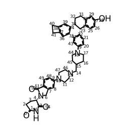 O=C1CC[C@H](N2Cc3cc(N4CCN(CC5CCN(c6ccc([C@H]7c8ccc(O)cc8CC[C@H]7c7ccc8c(c7)CC8)cc6)CC5)CC4)ccc3C2=O)C(=O)N1